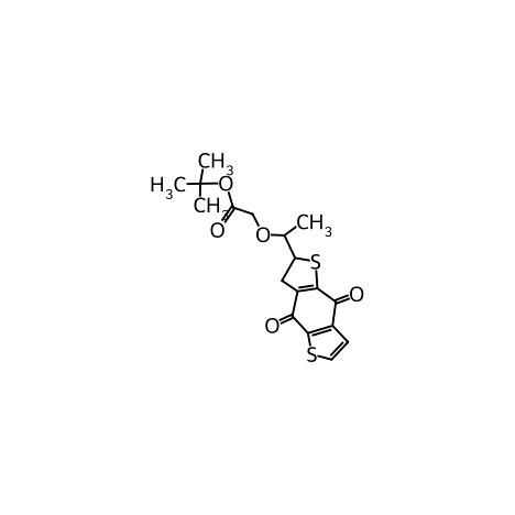 CC(OCC(=O)OC(C)(C)C)C1CC2=C(S1)C(=O)c1ccsc1C2=O